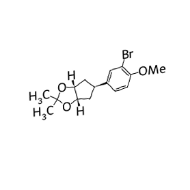 COc1ccc([C@H]2C[C@@H]3OC(C)(C)O[C@@H]3C2)cc1Br